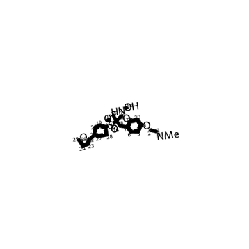 CNCCOc1ccc(CC(C)(C(=O)NO)S(=O)(=O)c2ccc(-c3ccco3)cc2)cc1